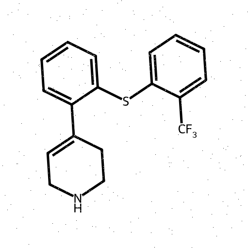 FC(F)(F)c1ccccc1Sc1ccccc1C1=CCNCC1